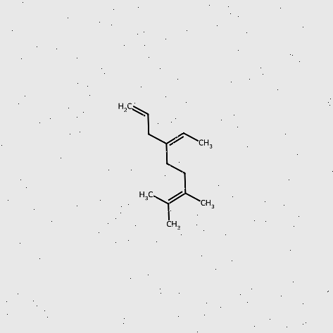 C=CCC(=CC)CCC(C)=C(C)C